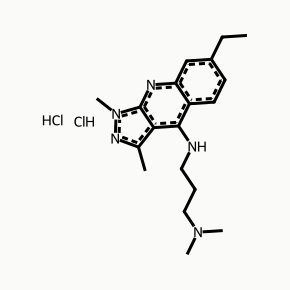 CCc1ccc2c(NCCCN(C)C)c3c(C)nn(C)c3nc2c1.Cl.Cl